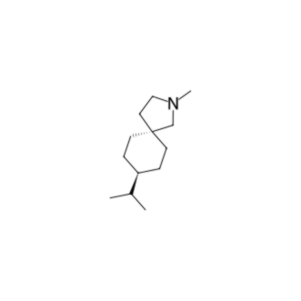 CC(C)[C@H]1CC[C@@]2(CCN(C)C2)CC1